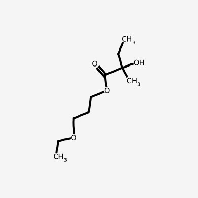 CCOCCCOC(=O)C(C)(O)CC